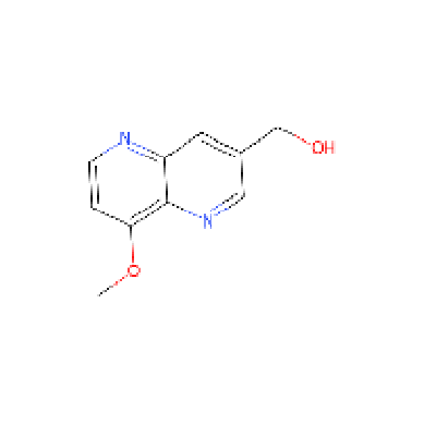 COc1ccnc2cc(CO)cnc12